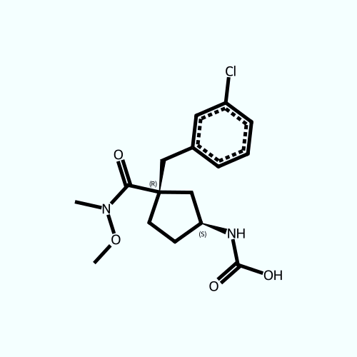 CON(C)C(=O)[C@@]1(Cc2cccc(Cl)c2)CC[C@H](NC(=O)O)C1